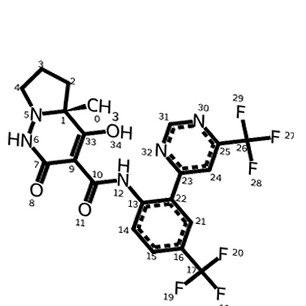 C[C@]12CCCN1NC(=O)C(C(=O)Nc1ccc(C(F)(F)F)cc1-c1cc(C(F)(F)F)ncn1)=C2O